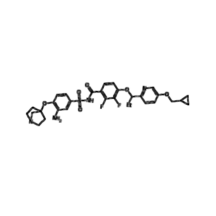 CCC(Oc1ccc(C(=O)NS(=O)(=O)c2ccc(OC34CCN(CC3)C4)c(N)c2)c(F)c1F)c1ccc(OCC2CC2)cn1